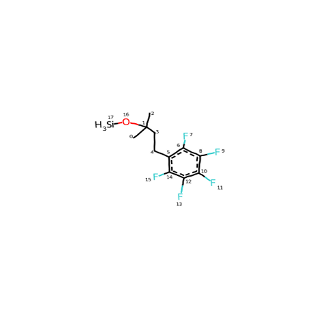 CC(C)(CCc1c(F)c(F)c(F)c(F)c1F)O[SiH3]